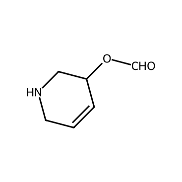 O=COC1C=CCNC1